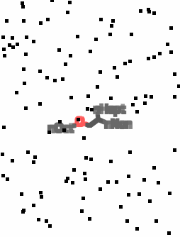 CCCCCCCCCC(CCCCCCC)COCCCCCCCC